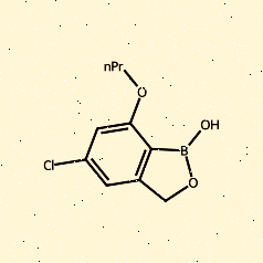 CCCOc1cc(Cl)cc2c1B(O)OC2